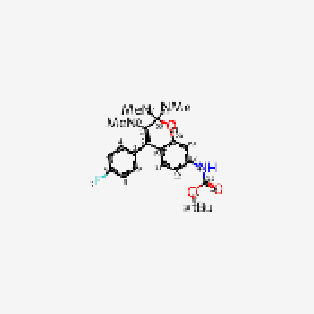 CNC1=C(c2ccc(F)cc2)c2ccc(NC(=O)OC(C)(C)C)cc2OC1(NC)NC